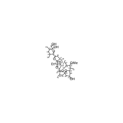 CCC1(C2OC(C3OC(O)(CO)C(C)CC3C)CC2C)CCC(C2(C)OC3(CC(O)CC(C(C)C(OC)C(C)C(=O)O)O3)CC2C)O1